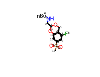 CCCCNCC1OCc2c(F)cc(S(C)(=O)=O)cc2O1